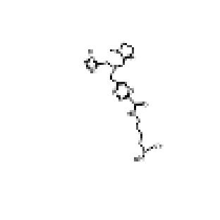 CCCN(CCC)CCCCNC(=O)c1cnc(CN(CC2=NCCN2C)Cc2ncc[nH]2)cn1